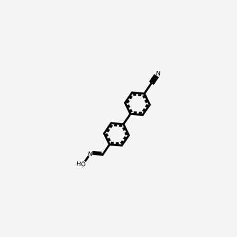 N#Cc1ccc(-c2ccc(/C=N/O)cc2)cc1